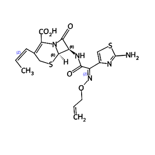 C=CCO/N=C(\C(=O)N[C@@H]1C(=O)N2C(C(=O)O)=C(/C=C\C)CS[C@H]12)c1csc(N)n1